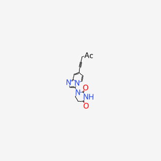 CC(=O)CC#Cc1ccn2c(N3CCC(=O)NC3=O)cnc2c1